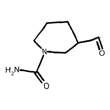 NC(=O)N1CCCC([C]=O)C1